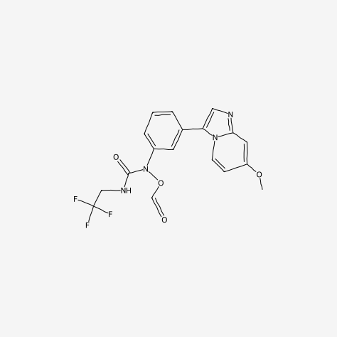 COc1ccn2c(-c3cccc(N(OC=O)C(=O)NCC(F)(F)F)c3)cnc2c1